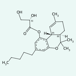 CCCCCc1cc(OC(=O)[C@@H](O)CO)c2c(c1)OC(C)(C)[C@@H]1CCC(C)=C[C@@H]21